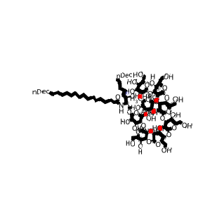 CCCCCCCCCCCCC/C=C/[C@@H](O)[C@H](CO[C@@H]1OC(CO)[C@@H](O[C@@H]2OC(CO)[C@H](O)[C@H](O[C@@H]3OC(CO)[C@@H](O[C@@H]4OC(CO)[C@H](O)[C@H](O[C@@H]5OC(CO)[C@@H](O[C@@H]6OC(CO)[C@H](O)[C@H](O[C@H]7OC(CO)[C@H](O)[C@H](O)C7NC(C)=O)C6O[C@H]6OC(C)[C@@H](O)C(O)[C@@H]6O)[C@H](O)C5NC(C)=O)C4O)[C@H](O)C3NC(C)=O)C2O)[C@H](O)C1O)NC(=O)CCCCCCCCCCCCCCCCCCCCCCCCC